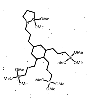 CO[Si](CCCC1CC(CCCN2CCC[Si]2(OC)OC)CC(CCC[Si](OC)(OC)OC)C1CCC[Si](OC)(OC)OC)(OC)OC